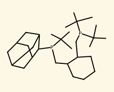 CC(C)(C)P(CC1CCCCC1CP(C(C)(C)C)C(C)(C)C)C1C2CC3CC(C2)CC1C3